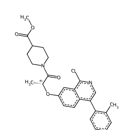 COC(=O)C1CCN(C(=O)[C@@H](C)Oc2ccc3c(-c4ccccc4C)cnc(Cl)c3c2)CC1